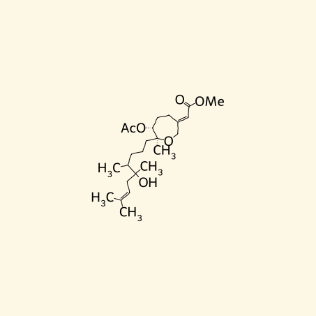 COC(=O)/C=C1\CC[C@@H](OC(C)=O)[C@](C)(CCCC(C)C(C)(O)CC=C(C)C)OC1